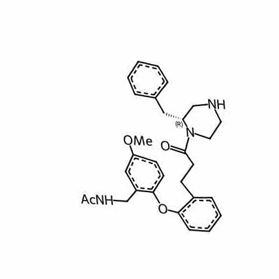 COc1ccc(Oc2ccccc2CCC(=O)N2CCNC[C@H]2Cc2ccccc2)c(CNC(C)=O)c1